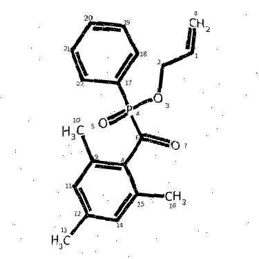 C=CCOP(=O)(C(=O)c1c(C)cc(C)cc1C)c1ccccc1